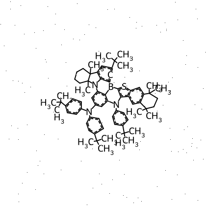 CC(C)(C)c1ccc(N(c2ccc(C(C)(C)C)cc2)c2cc3c4c(c2)N2c5c(cc(C(C)(C)C)cc5C5(C)CCCCC25C)B4c2sc4cc5c(cc4c2N3c2ccc(C(C)(C)C)cc2)C(C)(C)CCC5(C)C)cc1